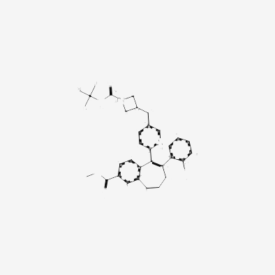 COC(=O)c1ccc2c(c1)CCCC(c1ccccc1Cl)=C2c1ccc(CC2CN(C(=O)OC(C)(C)C)C2)cn1